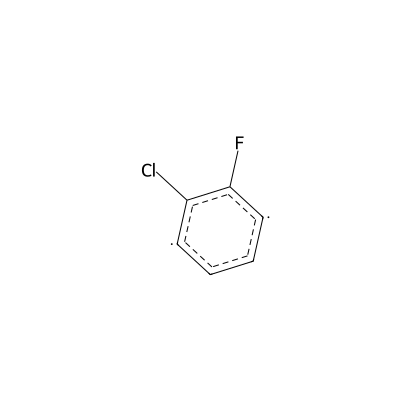 Fc1[c]cc[c]c1Cl